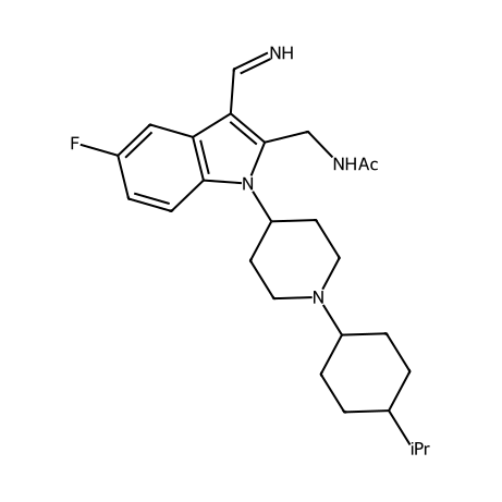 CC(=O)NCc1c(C=N)c2cc(F)ccc2n1C1CCN(C2CCC(C(C)C)CC2)CC1